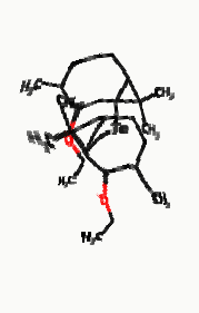 CCOC1C(C)CCC2C(C)(C)C12[Te]C12C(OCC)C(C)CCC1C2(C)C